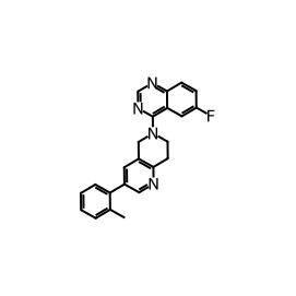 Cc1ccccc1-c1cnc2c(c1)CN(c1ncnc3ccc(F)cc13)CC2